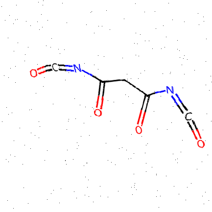 O=C=NC(=O)CC(=O)N=C=O